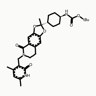 Cc1cc(C)c(CN2CCc3cc4c(cc3C2=O)OC(C)([C@H]2CC[C@H](NC(=O)OC(C)(C)C)CC2)O4)c(=O)[nH]1